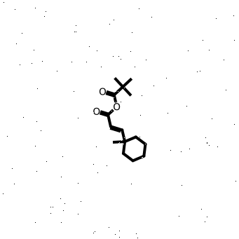 CC1(/C=C/C(=O)OC(=O)C(C)(C)C)CCCCC1